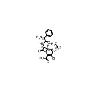 N[C@@H](C(=O)N[C@@H]1C(=O)N2C(C(=O)O)=C(Cl)CC[C@H]12)c1ccccc1.O.[CH2]CC